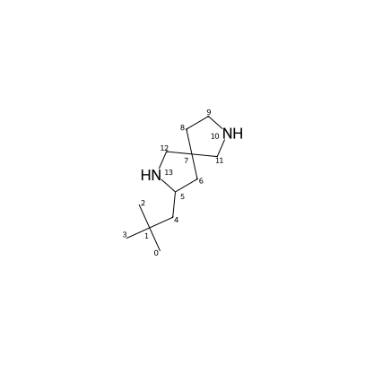 CC(C)(C)CC1CC2(CCNC2)CN1